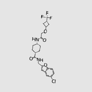 O=C(COC1CC(C(F)(F)F)C1)N[C@H]1CC[C@H](C(=O)NCc2cc3cc(Cl)ccc3o2)CC1